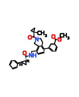 COC(=O)c1cccc(-c2ccc(CNC(=O)[C@@H]3C[C@H]3c3ccccc3)c3c2CCN(C(=O)C2(C)CC2)C3)c1